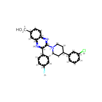 O=C(O)c1ccc2nc(N3CCC(c4cccc(Cl)c4)CC3)c(-c3ccc(F)cc3)nc2c1